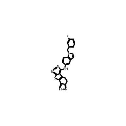 Fc1cccc(Cn2ncc3cc(Nc4ncnc5sc6c(c45)CCc4n[nH]cc4-6)ccc32)c1